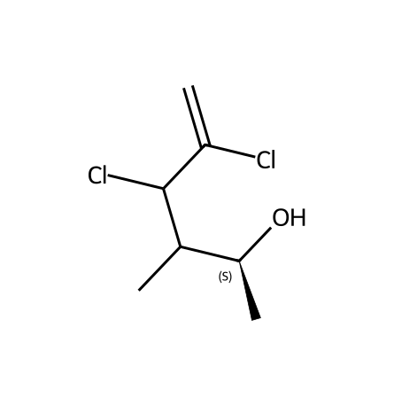 C=C(Cl)C(Cl)C(C)[C@H](C)O